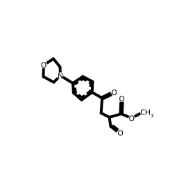 COC(=O)C(C=O)CC(=O)c1ccc(N2CCOCC2)cc1